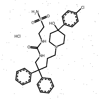 Cl.NS(=O)(=O)CCNC(=O)NCC(CCCN1CCC(O)(c2ccc(Cl)cc2)CC1)(c1ccccc1)c1ccccc1